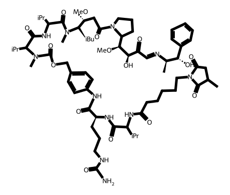 CC[C@H](C)C([C@@H](CC(=O)N1CCCC1[C@H](OC)[C@H](O)C(=O)/C=N/[C@H](C)[C@@H](O)c1ccccc1)OC)N(C)C(=O)C(NC(=O)C(C(C)C)N(C)C(=O)OCc1ccc(NC(=O)[C@H](CCCNC(N)=O)NC(=O)C(NC(=O)CCCCCN2C(=O)CC(C)C2=O)C(C)C)cc1)C(C)C